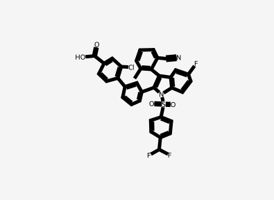 Cc1cccc(C#N)c1-c1c(-c2cccc(-c3ccc(C(=O)O)cc3Cl)c2)n(S(=O)(=O)c2ccc(C(F)F)cc2)c2ccc(F)cc12